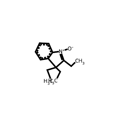 CCC1=[N+]([O-])c2ccccc2C1(CC)CC